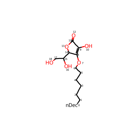 CCCCCCCCCCCCCCCCOC1=C(O)C(=O)OC1C(O)CO